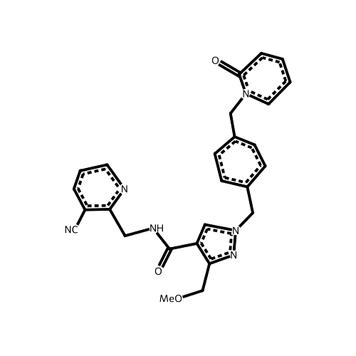 COCc1nn(Cc2ccc(Cn3ccccc3=O)cc2)cc1C(=O)NCc1ncccc1C#N